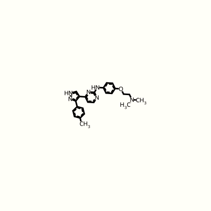 Cc1ccc(-c2n[nH]cc2-c2ccnc(Nc3ccc(OCCN(C)C)cc3)n2)cc1